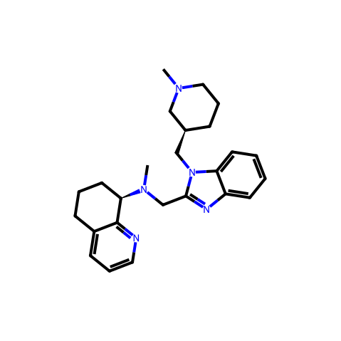 CN1CCC[C@@H](Cn2c(CN(C)[C@@H]3CCCc4cccnc43)nc3ccccc32)C1